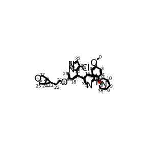 COc1ccc(CN2C3CC2CN(c2ccc(-c4cc(OCCC5C6COCC56)cn5ncc(Cl)c45)cn2)C3)cc1